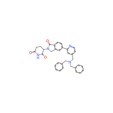 O=C1CCC(N2Cc3cc(-c4cc(CN(Cc5ccccc5)Cc5ccccc5)ccn4)ccc3C2=O)C(=O)N1